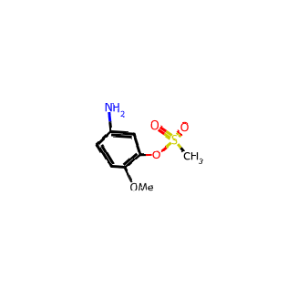 COc1ccc(N)cc1OS(C)(=O)=O